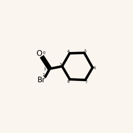 O=C(Br)C1CCCCC1